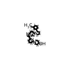 CCc1cccc(C2CCCN2c2ccc3ncc(-c4cccc(N5CCC(O)CC5)n4)n3n2)c1